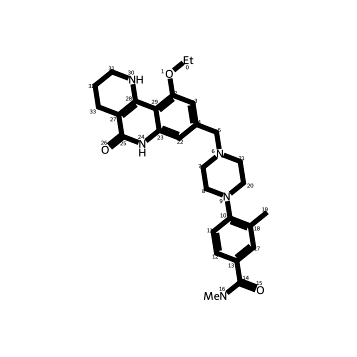 CCOc1cc(CN2CCN(c3ccc(C(=O)NC)cc3C)CC2)cc2[nH]c(=O)c3c(c12)NCCC3